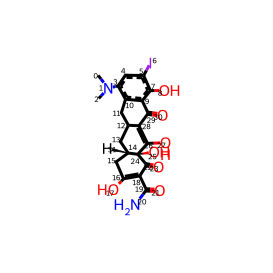 CN(C)c1cc(I)c(O)c2c1CC1C[C@H]3CC(O)=C(C(N)=O)C(=O)[C@@]3(O)C(O)=C1C2=O